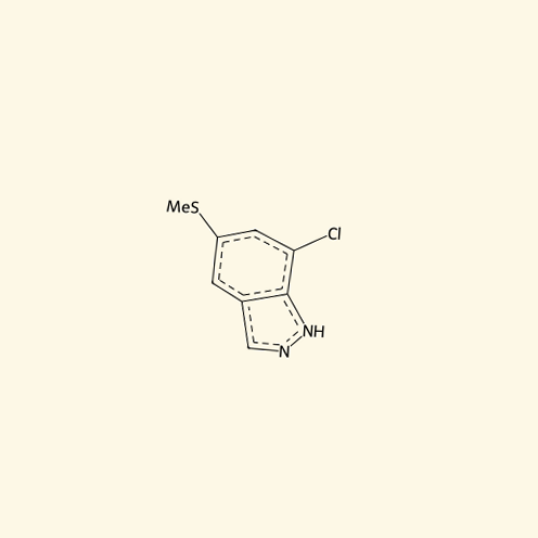 CSc1cc(Cl)c2[nH]ncc2c1